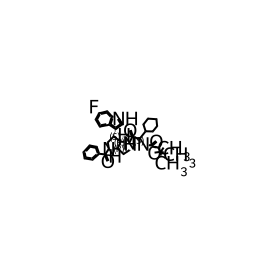 CC(C)(C)OC(=O)N[C@H](C(=O)N1CC[C@@H]2[C@H]1[C@@H](c1c[nH]c3cc(F)ccc13)CN2C(=O)c1ccccc1)C1CCCCC1